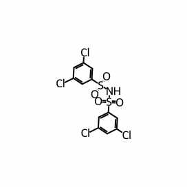 O=S(=O)(NS(=O)(=O)c1cc(Cl)cc(Cl)c1)c1cc(Cl)cc(Cl)c1